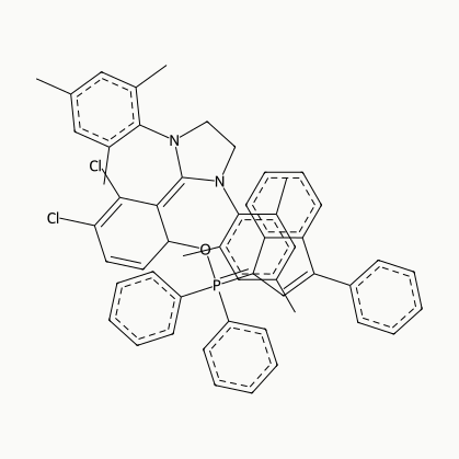 Cc1cc(C)c(N2CCN(c3c(C)cc(C)cc3C)C2=C2C(Cl)=C(Cl)C=CC2OP(=C2C=C(c3ccccc3)c3ccccc32)(c2ccccc2)c2ccccc2)c(C)c1